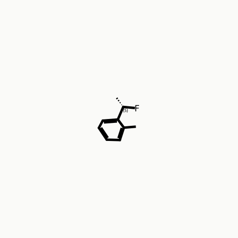 Cc1ccccc1[C@H](C)F